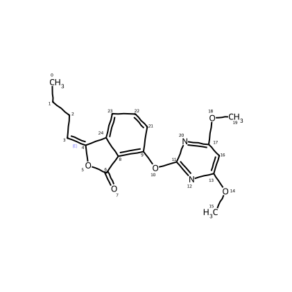 CCC/C=C1/OC(=O)c2c(Oc3nc(OC)cc(OC)n3)cccc21